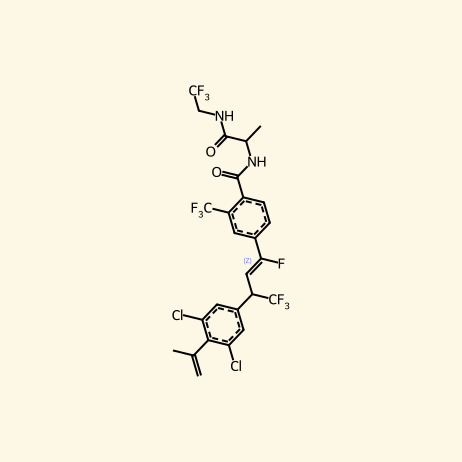 C=C(C)c1c(Cl)cc(C(/C=C(\F)c2ccc(C(=O)NC(C)C(=O)NCC(F)(F)F)c(C(F)(F)F)c2)C(F)(F)F)cc1Cl